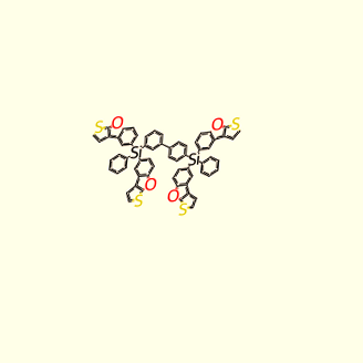 c1ccc([Si](c2ccc(-c3cccc([Si](c4ccccc4)(c4ccc5oc6sccc6c5c4)c4ccc5oc6sccc6c5c4)c3)cc2)(c2ccc3oc4sccc4c3c2)c2ccc3oc4sccc4c3c2)cc1